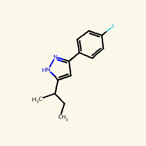 CCC(C)c1cc(-c2ccc(F)cc2)n[nH]1